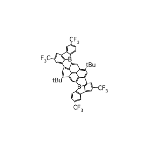 CC(C)(C)c1cc2c3c(cc4c(C(C)(C)C)cc5c6c(cc1c3c46)B1c3ccc(C(F)(F)F)cc3-c3cc(C(F)(F)F)cc-5c31)B1c3ccc(C(F)(F)F)cc3-c3cc(C(F)(F)F)cc-2c31